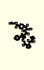 CCCCOC(=O)N1CCN(C(=O)[C@H](CCC)NC(=O)c2cc(OCC(=O)N3CCC[C@H]3C(=O)NC3CCC3)n(-c3ccccc3)n2)CC1